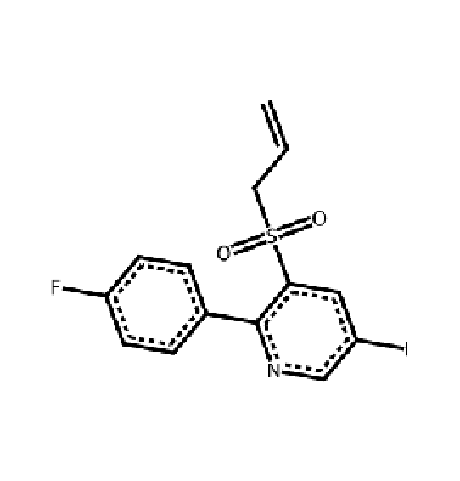 C=CCS(=O)(=O)c1cc(I)cnc1-c1ccc(F)cc1